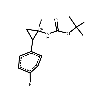 CC(C)(C)OC(=O)N[C@]1(C)CC1c1ccc(F)cc1